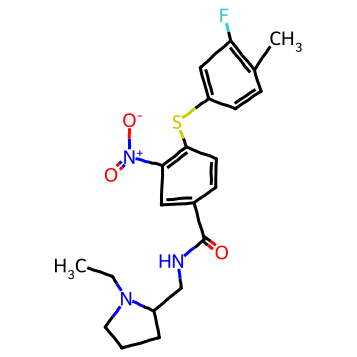 CCN1CCCC1CNC(=O)c1ccc(Sc2ccc(C)c(F)c2)c([N+](=O)[O-])c1